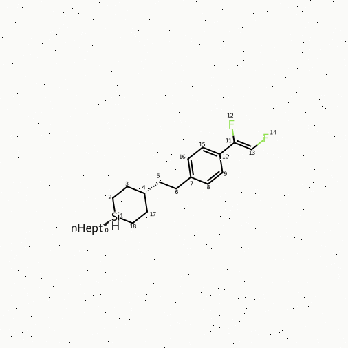 CCCCCCC[Si@H]1CC[C@H](CCc2ccc(C(F)=CF)cc2)CC1